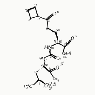 CC(C)C[C@H](NC(=O)N[C@@H](CCC(=O)C1CCC1)C(=O)O)C(=O)O